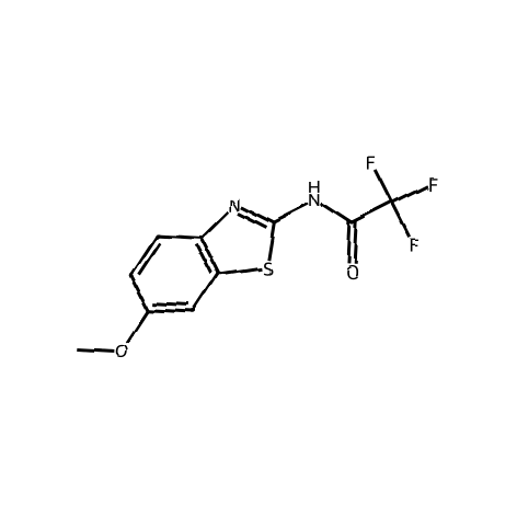 COc1ccc2nc(NC(=O)C(F)(F)F)sc2c1